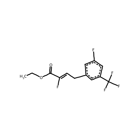 CCOC(=O)C(F)=CCc1cc(F)cc(C(F)(F)F)c1